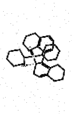 O=P(C1CCCCC1)(C1CCCCC1)[C@]1(O)CC=C2CCCCC2=C1c1cccc2c1CCCC2